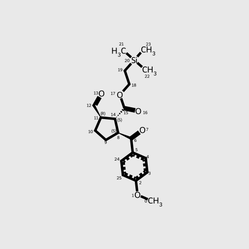 COc1ccc(C(=O)[C@H]2CC[C@@H](C=O)[C@@H]2C(=O)OCC[Si](C)(C)C)cc1